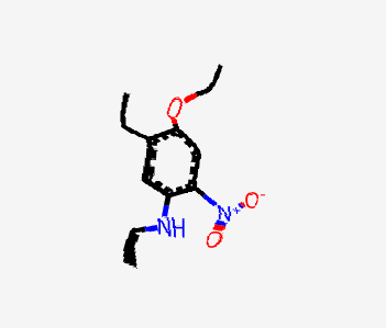 C=CNc1cc(CC)c(OCC)cc1[N+](=O)[O-]